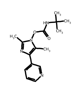 Cc1nc(-c2cccnc2)c(C)n1OC(=O)NC(C)(C)C